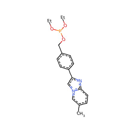 CCOP(OCC)OCc1ccc(-c2cn3cc(C)ccc3n2)cc1